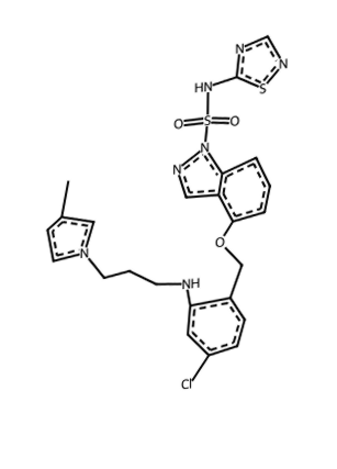 Cc1ccn(CCCNc2cc(Cl)ccc2COc2cccc3c2cnn3S(=O)(=O)Nc2ncns2)c1